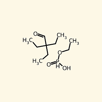 CCC(C=O)(CC)CC.CCO[PH](=O)O